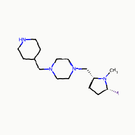 CN1[C@@H](CN2CCN(CC3CCNCC3)CC2)CC[C@H]1I